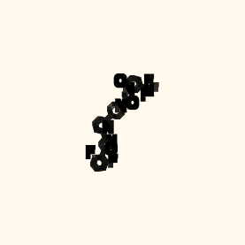 O=C(Cn1cc(C(F)(F)F)ccc1=O)N1CCC(c2cccc(C3=NOC(c4c(F)cccc4F)C3)n2)CC1